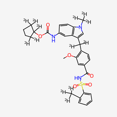 [2H]C([2H])([2H])c1ccccc1S(=O)(=O)NC(=O)c1ccc(C([2H])([2H])c2cn(C([2H])([2H])[2H])c3ccc(NC(=O)OC4([2H])C([2H])([2H])CCC4([2H])[2H])cc23)c(OC)c1